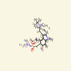 [2H]c1c(CS(=O)(=O)N([2H])C)c([2H])c2c(CC([2H])([2H])N(C)C([2H])([2H])[2H])c([2H])n([2H])c2c1[2H]